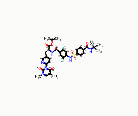 Cc1cn(C)c(=O)n(-c2ccc(C[C@H](NC(=O)c3cc(F)c(NS(=O)(=O)c4ccc(C(=O)NC(C)(C)C)cc4)cc3F)C(=O)OC(C)C)cn2)c1=O